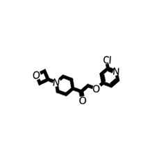 O=C(COc1ccnc(Cl)c1)C1CCN(C2COC2)CC1